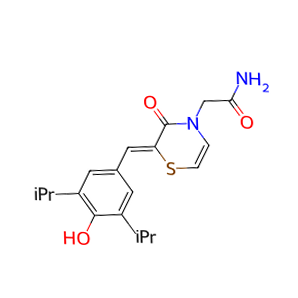 CC(C)c1cc(C=C2SC=CN(CC(N)=O)C2=O)cc(C(C)C)c1O